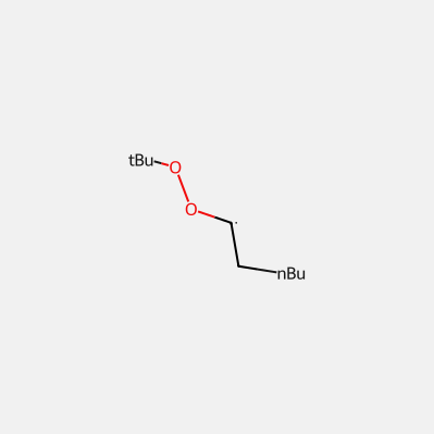 CCCCC[CH]OOC(C)(C)C